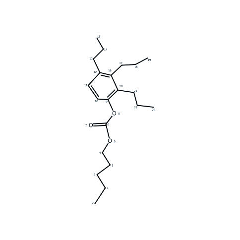 CCCCCOC(=O)Oc1ccc(CCC)c(CCC)c1CCC